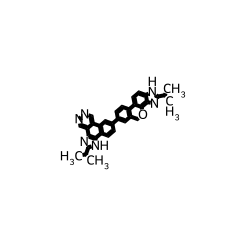 CC(C)c1nc2c3c(ccc2[nH]1)-c1ccc(-c2ccc4c(c2)c2cnncc2c2nc(C(C)C)[nH]c42)cc1CO3